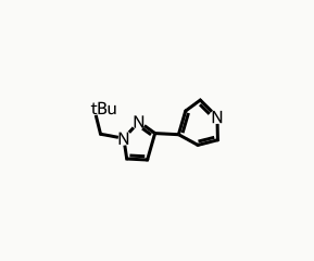 CC(C)(C)Cn1ccc(-c2ccncc2)n1